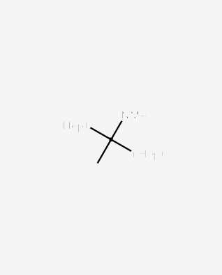 CCCCCCCC(C)(CCCCCCC)NC